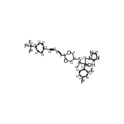 C[C@@H](SC1COC(C=CC#Cc2ccc(C(F)(F)F)cc2)OC1)[C@](O)(Cn1cncn1)c1ccc(F)cc1F